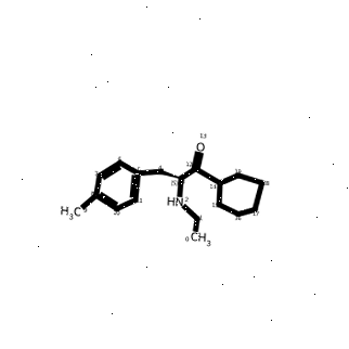 CCN[C@@H](Cc1ccc(C)cc1)C(=O)C1CCCCC1